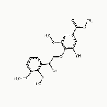 COC(=O)c1cc(C)c(OCC(O)c2cccc(OC)c2OC)c(OC)c1